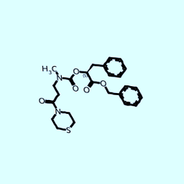 CN(CCC(=O)N1CCSCC1)C(=O)O[C@@H](Cc1ccccc1)C(=O)OCc1ccccc1